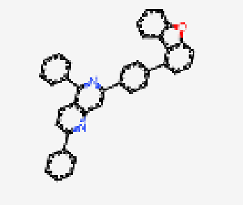 c1ccc(-c2ccc3c(-c4ccccc4)nc(-c4ccc(-c5cccc6oc7ccccc7c56)cc4)cc3n2)cc1